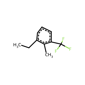 CCc1cccc(C(F)(F)F)c1C